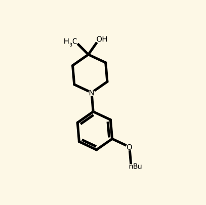 CCCCOc1cccc(N2CCC(C)(O)CC2)c1